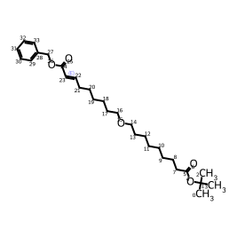 CC(C)(C)OC(=O)CCCCCCCCOCCCCCC/C=C/C(=O)OCc1ccccc1